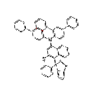 c1ccc(-c2ccc(N(c3ccc(-c4ccccc4)cc3-c3ccccc3)c3cc4c(c5ccccc35)C3(c5ccccc5S4)c4ccccc4-c4ccccc43)cc2)cc1